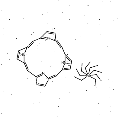 C[CH2][V]([CH2]C)([CH2]C)([CH2]C)([CH2]C)([CH2]C)([CH2]C)[CH2]C.[O-][NH+]1C2=CC=C1C=C1C=CC(=N1)C=c1ccc([nH]1)=CC1=NC(=C2)C=C1